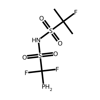 CC(C)(F)S(=O)(=O)NS(=O)(=O)C(F)(F)P